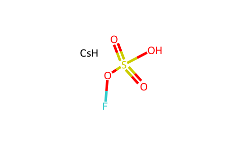 O=S(=O)(O)OF.[CsH]